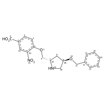 O=C(O)c1ccc(OC[C@@H]2C[C@@H](OCc3ccccc3)CN2)c([N+](=O)[O-])c1